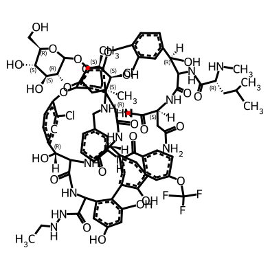 CCNNC(=O)C1NC(=O)C2NC(=O)[C@H](NC(=O)[C@@H]3NC(=O)[C@H](CC(N)=O)NC(=O)C(NC(=O)[C@@H](CC(C)C)NC)[C@H](O)c4ccc(c(Cl)c4)Oc4cc3cc(c4OC3O[C@H](CO)[C@@H](O)[C@H](O)[C@H]3OC3C[C@](C)(NCc4cccc(NC(=O)c5ccc(OC(F)(F)F)cc5)c4)[C@H](O)[C@H](C)O3)Oc3ccc(cc3Cl)[C@H]2O)c2ccc(O)c(c2)-c2c(O)cc(O)cc21